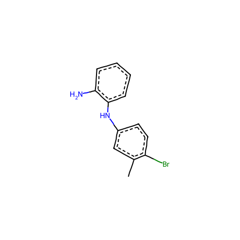 Cc1cc(Nc2ccccc2N)ccc1Br